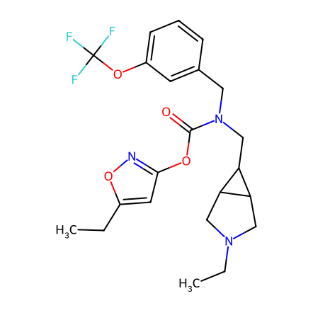 CCc1cc(OC(=O)N(Cc2cccc(OC(F)(F)F)c2)CC2C3CN(CC)CC32)no1